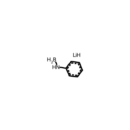 BNc1ccccc1.[LiH]